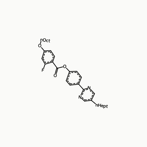 CCCCCCCCOc1ccc(C(=O)Oc2ccc(-c3ncc(CCCCCCC)cn3)cc2)c(F)c1